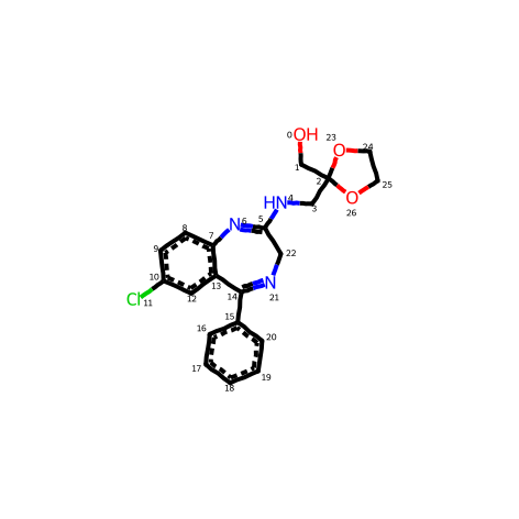 OCC1(CNC2=Nc3ccc(Cl)cc3C(c3ccccc3)=NC2)OCCO1